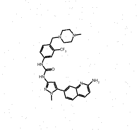 CN1CCN(Cc2ccc(NC(=O)Nc3cc(-c4ccc5ccc(N)nc5c4)n(C)n3)cc2C(F)(F)F)CC1